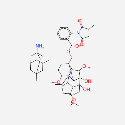 CC12CC3CC(C)(C1)CC(N)(C3)C2.CCN1CC2(COC(=O)c3ccccc3N3C(=O)CC(C)C3=O)CCC(OC)C34C5CC6C(OC)CC(O)(C5C6OC)C(O)(C(OC)C23)C14